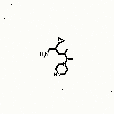 C=C(C(C)C/C(=C\N)C1CC1)N1CCNCC1